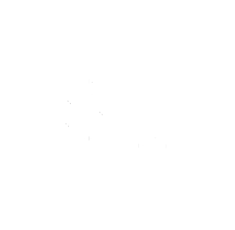 Cc1ncnc2c(Br)cn(COCC[Si](C)(C)C)c12